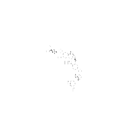 C=CC(=O)N1CC(Oc2cc3c(Nc4ccc(Oc5ccn(-c6cnc(C)c(F)c6)n5)cc4F)ncnc3cc2OC)C1